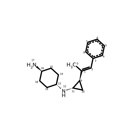 C/C(=C\c1ccccc1)[C@H]1C[C@@H]1N[C@H]1CC[C@H](N)CC1